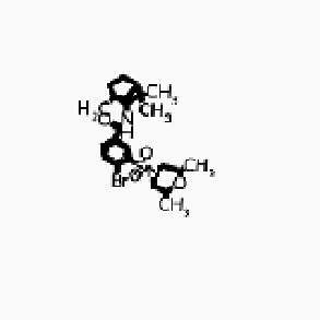 CC1CN(S(=O)(=O)c2cc(C(=O)NC3C4(C)CCC(C4)C3(C)C)ccc2Br)CC(C)O1